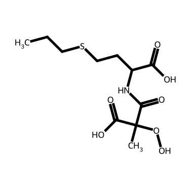 CCCSCCC(NC(=O)C(C)(OO)C(=O)O)C(=O)O